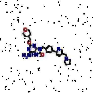 Nc1nc(OCC2CCOCC2)nc2c1[nH]c(=O)n2Cc1ccc(-c2ccc(CN3CCCC3)cn2)cc1